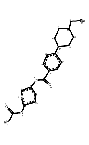 CCCC(=O)Oc1ccc(OC(=O)c2ccc(C3CCC(CC(C)CC)CC3)cc2)cc1